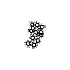 c1ccc(C2(c3ccccc3)c3ccccc3C3(c4cc5c(cc42)C2(c4ccccc4-c4ccccc42)c2cc(-n4c6ccccc6c6ccccc64)ccc2-5)c2cccnc2-c2ncccc23)cc1